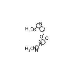 COc1ccnc2ccc(COc3nn(-c4cnn(C)c4)ccc3=O)cc12